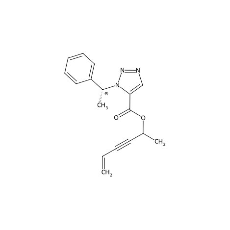 C=CC#CC(C)OC(=O)c1cnnn1[C@H](C)c1ccccc1